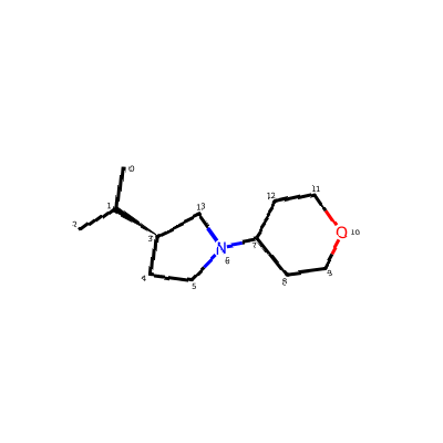 CC(C)[C@@H]1CCN(C2CCOCC2)C1